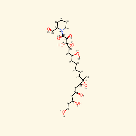 COCCC(O)CC(=O)CC1OC1(C)CCCCCC(CC1OC1(O)C(=O)C(=O)N1CCCCC1C=O)OC